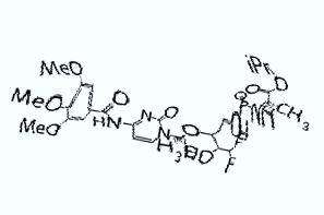 COc1cc(C(=O)Nc2ccn([C@@H](C)OC(CO[PH](=O)N[C@@H](C)C(=O)OC(C)C)C(O)C(F)F)c(=O)n2)cc(OC)c1OC